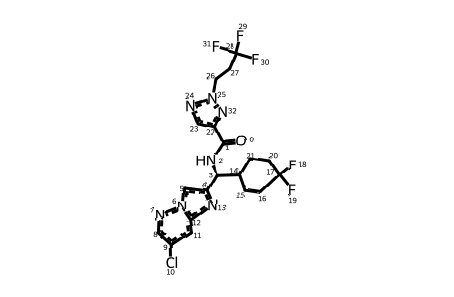 O=C(N[C@H](c1cn2ncc(Cl)cc2n1)C1CCC(F)(F)CC1)c1cnn(CCC(F)(F)F)n1